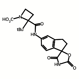 CC(C)(C)C1(C(=O)Nc2ccc3c(c2)CCC32OC(=O)NC2=O)CCN1C(=O)O